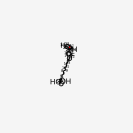 O=P(O)(O)CCCCCCCCCCCOc1ccc([C@]23CC4C[C@H](C[C@@H](C4)C2)C3)cc1F